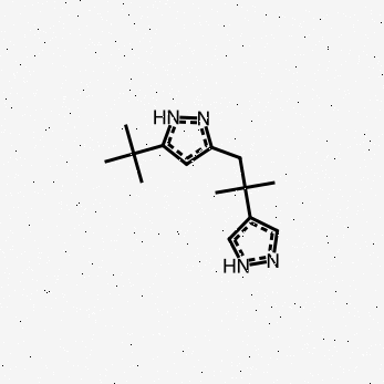 CC(C)(C)c1cc(CC(C)(C)c2cn[nH]c2)n[nH]1